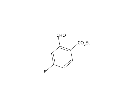 CCOC(=O)c1ccc(F)cc1C=O